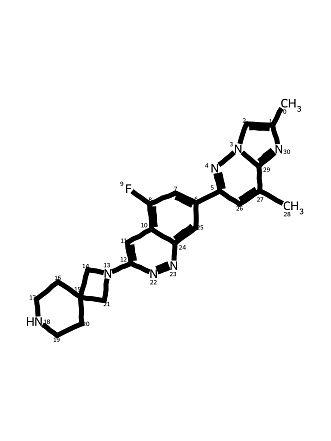 Cc1cn2nc(-c3cc(F)c4cc(N5CC6(CCNCC6)C5)nnc4c3)cc(C)c2n1